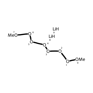 COOOOOOOOC.[LiH].[LiH]